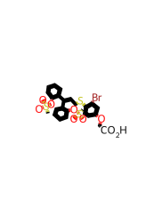 CS(=O)(=O)Oc1ccccc1C(=CCSc1ccc(OCC(=O)O)cc1Br)c1ccccc1OS(C)(=O)=O